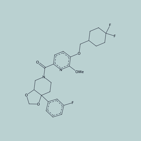 COc1nc(C(=O)N2CCC3(c4cccc(F)c4)OCOC3C2)ccc1OCC1CCC(F)(F)CC1